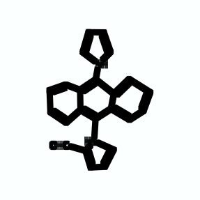 O=CC1=CC=C[SH]1c1c2ccccc2c([SH]2C=CC=C2)c2ccccc12